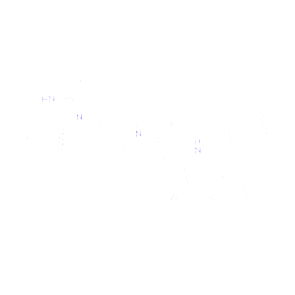 O=C(c1ccccc1)C(CC(F)N1CCC(n2c(=O)[nH]c3ccccc32)CC1)NCc1ccccc1